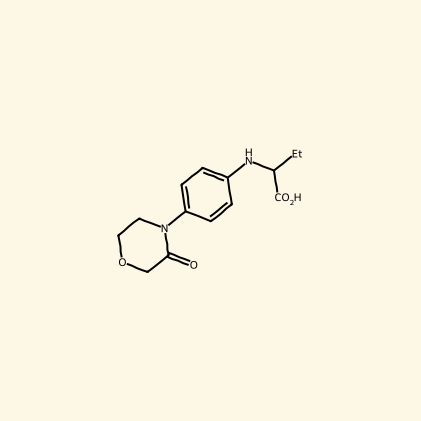 CCC(Nc1ccc(N2CCOCC2=O)cc1)C(=O)O